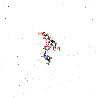 C[C@@H](COc1ccc(Oc2c(-c3ccc(O)cc3)sc3ccc(O)cc23)cc1)N1CC[C@@H](CF)C1